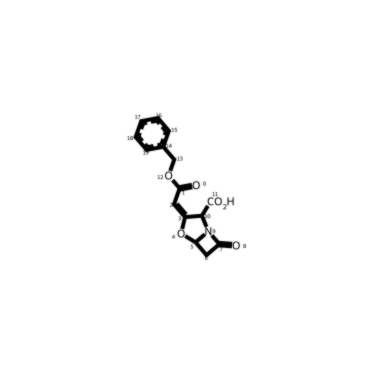 O=C(/C=C1/OC2CC(=O)N2C1C(=O)O)OCc1ccccc1